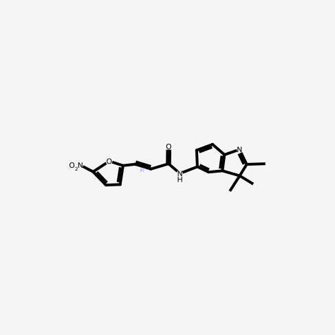 CC1=Nc2ccc(NC(=O)/C=C/c3ccc([N+](=O)[O-])o3)cc2C1(C)C